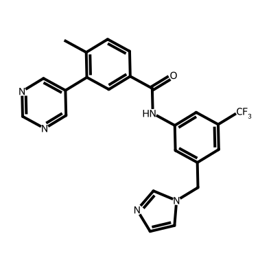 Cc1ccc(C(=O)Nc2cc(Cn3ccnc3)cc(C(F)(F)F)c2)cc1-c1cncnc1